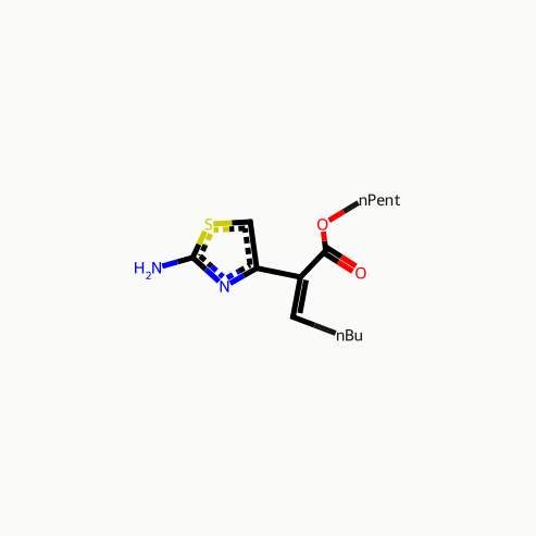 CCCCC=C(C(=O)OCCCCC)c1csc(N)n1